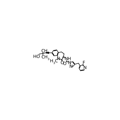 CN1C(=O)[C@H](NC(=O)n2cc(Cc3cccnc3F)cn2)CCc2ccc(C#CC(C)(C)CO)cc21